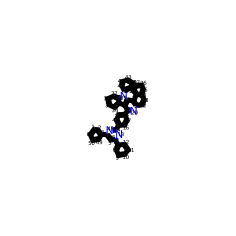 c1ccc(-c2cc(-c3ccccc3)nc(-c3ccc(-c4nc5ccc6ccccc6c5c5c4c4ccccc4n5-c4ccccc4)cc3)n2)cc1